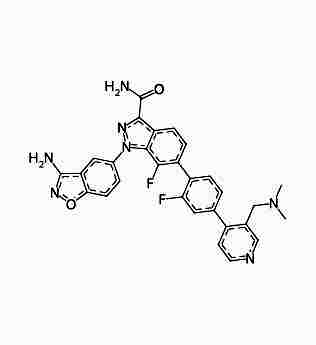 CN(C)Cc1cnccc1-c1ccc(-c2ccc3c(C(N)=O)nn(-c4ccc5onc(N)c5c4)c3c2F)c(F)c1